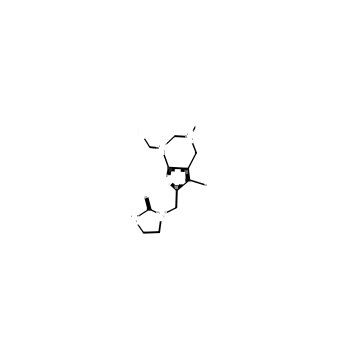 CCN1Cc2c(sc(CN3CCNC3=O)c2C)N(CF)C1